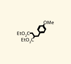 CCOC(=O)CC(Cc1ccc(OC)cc1)C(=O)OCC